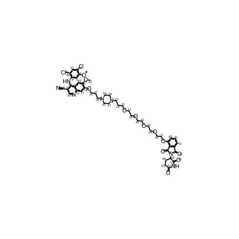 COc1cc(Nc2c(C#N)cnc3cc(OCCCN4CCN(CCCOCCOCCOCCOCCOc5cccc6c5C(=O)N(C5CCC(=O)NC5=O)C6=O)CC4)c(OC)cc23)c(Cl)cc1Cl